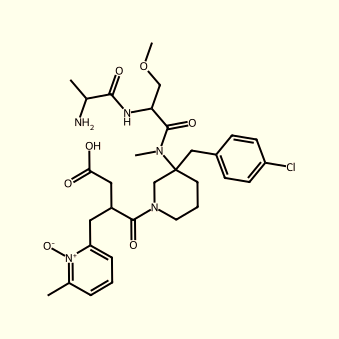 COCC(NC(=O)C(C)N)C(=O)N(C)C1(Cc2ccc(Cl)cc2)CCCN(C(=O)C(CC(=O)O)Cc2cccc(C)[n+]2[O-])C1